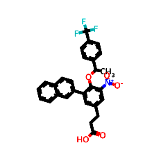 CC(Oc1c(-c2ccc3ccccc3c2)cc(CCC(=O)O)cc1[N+](=O)[O-])c1ccc(C(F)(F)F)cc1